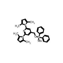 Cc1ccc(C)n1-c1cc(CO[Si](c2ccccc2)(c2ccccc2)C(C)(C)C)cc(-n2c(C)ccc2C)n1